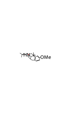 COc1ccc2c(c1)[C@@]1(C)CCCC(C2)C1NCC=C(C)C